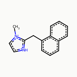 C[n+]1cc[nH]c1Cc1cccc2ccccc12